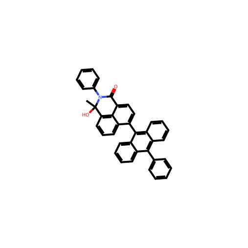 CC1(O)c2cccc3c(-c4c5ccccc5c(-c5ccccc5)c5ccccc45)ccc(c23)C(=O)N1c1ccccc1